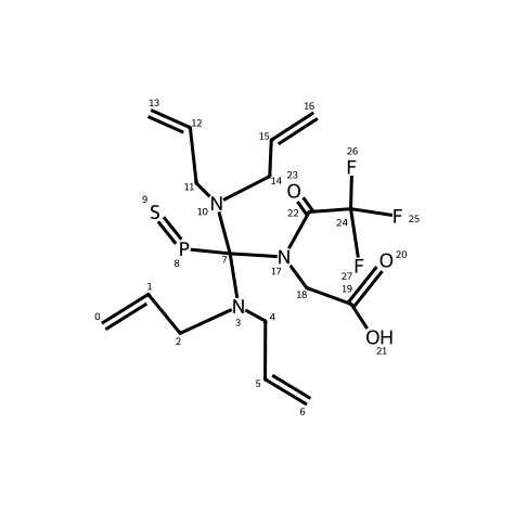 C=CCN(CC=C)C(P=S)(N(CC=C)CC=C)N(CC(=O)O)C(=O)C(F)(F)F